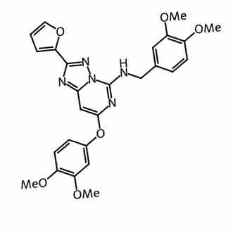 COc1ccc(CNc2nc(Oc3ccc(OC)c(OC)c3)cc3nc(-c4ccco4)nn23)cc1OC